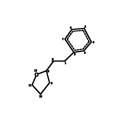 [CH](Cc1ccccc1)C1CCCO1